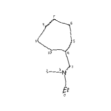 CCN(C)CC1CCCCCC1